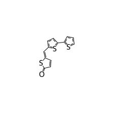 O=C1C=CC(=Cc2ccc(-c3cccs3)s2)S1